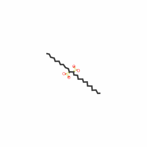 CCCCCCCCCCCCC(C(CCCCCCCCCC)=S(=O)=O)=S(=O)=O